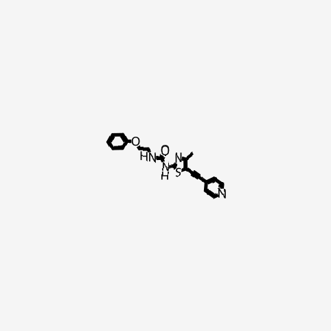 Cc1nc(NC(=O)NCCOc2ccccc2)sc1C#Cc1ccncc1